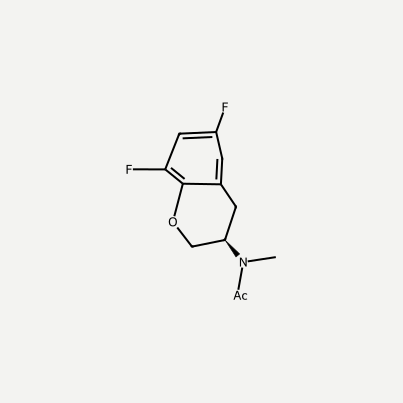 CC(=O)N(C)[C@H]1COc2c(F)cc(F)cc2C1